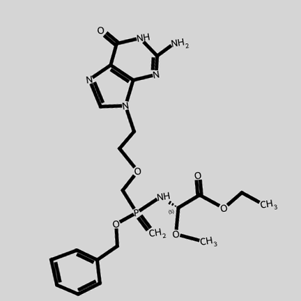 C=P(COCCn1cnc2c(=O)[nH]c(N)nc21)(N[C@@H](OC)C(=O)OCC)OCc1ccccc1